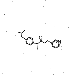 CC(C)Cc1ccc([C@@H](C)C(=O)CCc2cccnc2)cc1